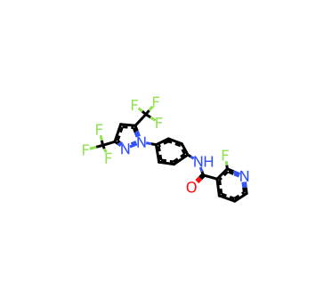 O=C(Nc1ccc(-n2nc(C(F)(F)F)cc2C(F)(F)F)cc1)c1cccnc1F